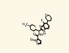 CCn1nccc1C(=O)N[C@H](c1nc2c(F)c(C3CCCOC3)ccc2[nH]1)[C@H]1CC[C@H](C)CC1